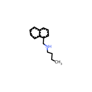 CCCCNCc1cccc2ccccc12